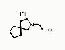 Cl.OCCN1CCC2(CCCC2)C1